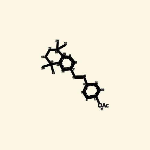 CC(=O)Oc1ccc(/C=C/c2ccc3c(c2)C(C)(C)CCC3(C)C)cc1